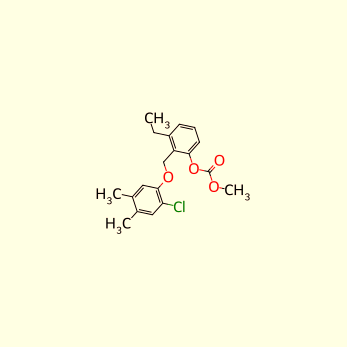 CCc1cccc(OC(=O)OC)c1COc1cc(C)c(C)cc1Cl